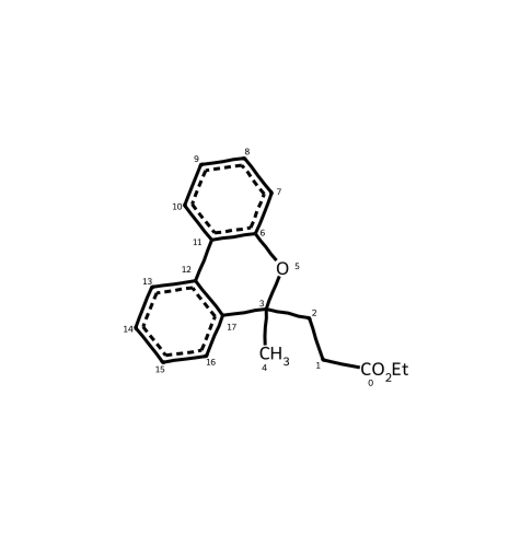 CCOC(=O)CCC1(C)Oc2ccccc2-c2ccccc21